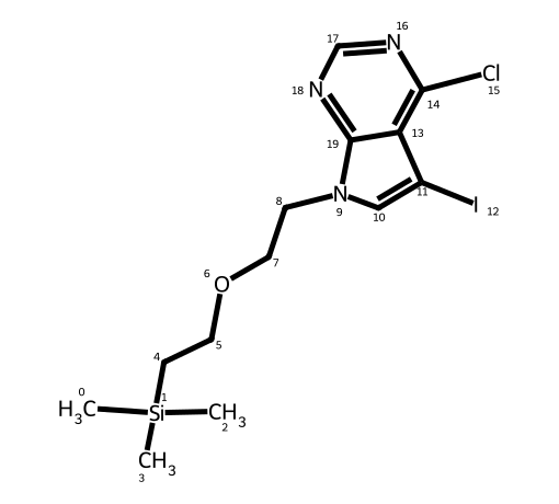 C[Si](C)(C)CCOCCn1cc(I)c2c(Cl)ncnc21